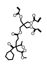 C=CC(=O)OCC(COC(=O)C=C)(COC(=O)C=C)COC(=O)CCC(CC(=O)OC)(C(C)=O)C(=O)C1CCCCC1